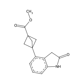 COC(=O)C12CC(c3cccc4c3CC(=O)N4)(C1)C2